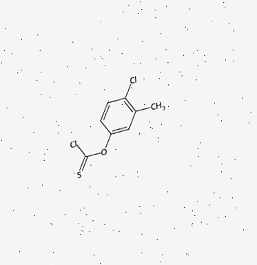 Cc1cc(OC(=S)Cl)ccc1Cl